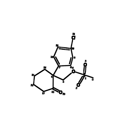 CS(=O)(=O)OCC1(c2ccc(Cl)cc2)CCCCC1=O